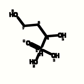 O=[SH](O)(O)C(O)CCO